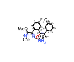 CO/N=C(/C(=N\C#N)OC)c1ccccc1/C(ON)=C(/C)c1cccc(C(F)(F)F)c1